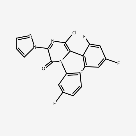 O=c1c(-n2cccn2)nc(Cl)c(-c2c(F)cc(F)cc2F)n1-c1cccc(F)c1